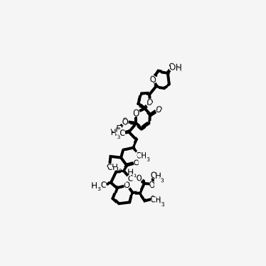 CCC(CC(C)CC(C)C1(OF)C=CC(=O)C2(CCC(C3CCC(O)CO3)O2)O1)C(=O)C(C)CC(C)C1CCCC(C(CC)C(=O)OC)O1